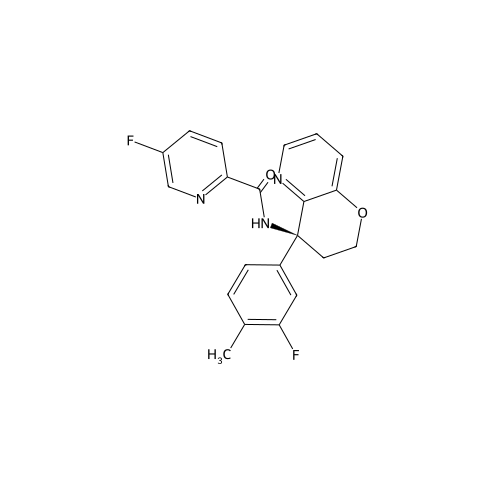 Cc1ccc([C@@]2(NC(=O)c3ccc(F)cn3)CCOc3cccnc32)cc1F